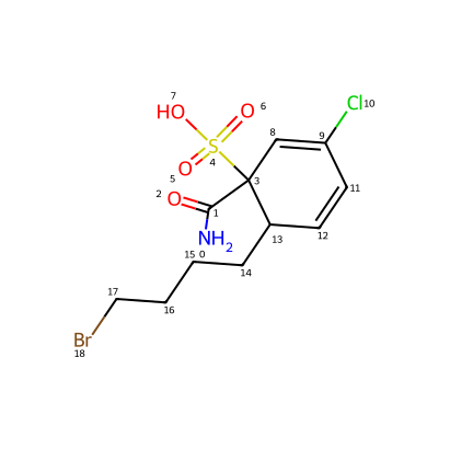 NC(=O)C1(S(=O)(=O)O)C=C(Cl)C=CC1CCCCBr